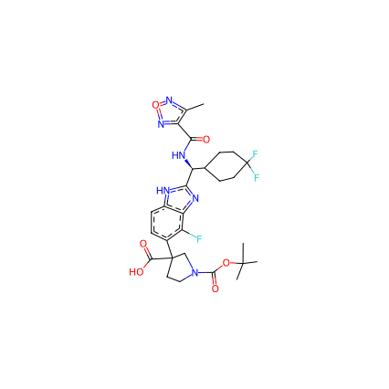 Cc1nonc1C(=O)N[C@H](c1nc2c(F)c(C3(C(=O)O)CCN(C(=O)OC(C)(C)C)C3)ccc2[nH]1)C1CCC(F)(F)CC1